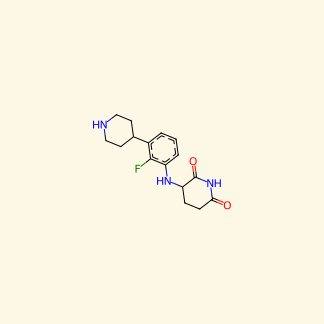 O=C1CCC(Nc2cccc(C3CCNCC3)c2F)C(=O)N1